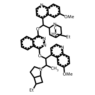 CCC1CC2C1CCN2C(C)C(Oc1nnc(OC(c2ccnc3ccc(OC)cc23)C2CC3CCN2C[SH]3CC)c2ccccc12)c1ccnc2ccc(OC)cc12